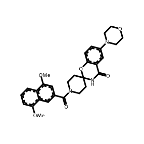 COc1cc(C(=O)N2CCC3(CC2)NC(=O)c2cc(N4CCOCC4)ccc2O3)cc2c(OC)cccc12